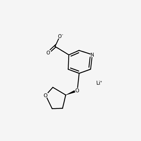 O=C([O-])c1cncc(O[C@H]2CCOC2)c1.[Li+]